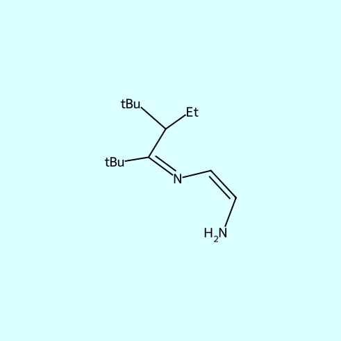 CCC(/C(=N\C=C/N)C(C)(C)C)C(C)(C)C